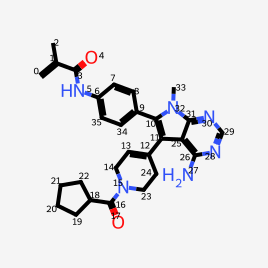 C=C(C)C(=O)Nc1ccc(-c2c(C3=CCN(C(=O)C4CCCC4)CC3)c3c(N)ncnc3n2C)cc1